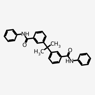 CC(C)(c1cccc(C(=O)Nc2ccccc2)c1)c1cccc(C(=O)Nc2ccccc2)c1